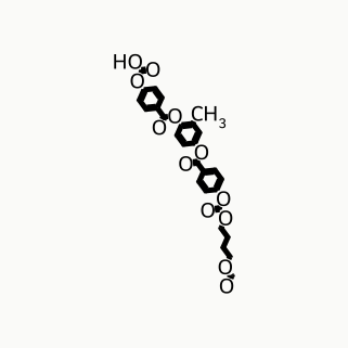 Cc1cc(OC(=O)c2ccc(OC(=O)OCCCCOC=O)cc2)ccc1OC(=O)c1ccc(OC(=O)O)cc1